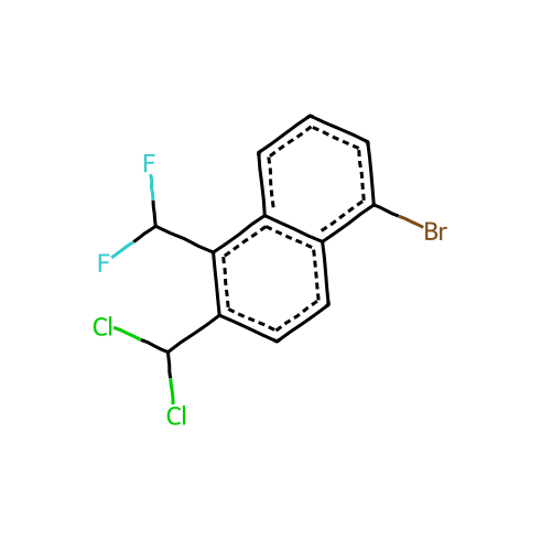 FC(F)c1c(C(Cl)Cl)ccc2c(Br)cccc12